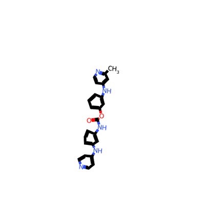 Cc1cc(Nc2cccc(OC(=O)Nc3cccc(Nc4ccncc4)c3)c2)ccn1